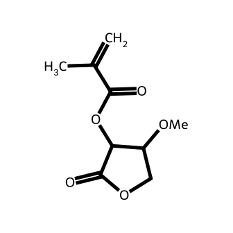 C=C(C)C(=O)OC1C(=O)OCC1OC